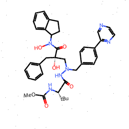 COC(=O)N[C@H](C(=O)NN(Cc1ccc(-c2cnccn2)cc1)C[C@@](O)(Cc1ccccc1)C(=O)N(O)C1CCc2ccccc21)C(C)(C)C